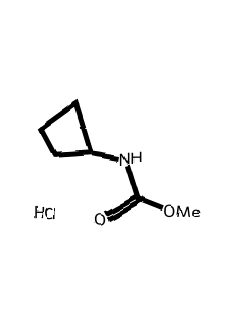 COC(=O)NC1CCC1.Cl